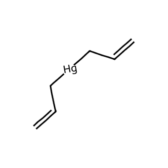 C=C[CH2][Hg][CH2]C=C